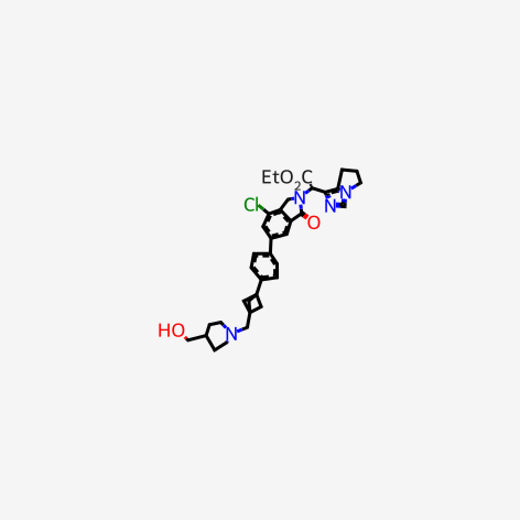 CCOC(=O)[C@@H](c1ncn2c1CCC2)N1Cc2c(Cl)cc(-c3ccc(C45CC(CN6CCC(CO)CC6)(C4)C5)cc3)cc2C1=O